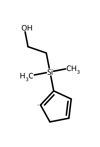 C[Si](C)(CCO)C1=[C]CC=C1